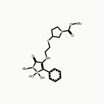 CC(C)(C)OC(=O)N1CCC(SCCNC2=C(c3ccccc3)S(O)(O)N(C(C)(C)C)C2=O)C1